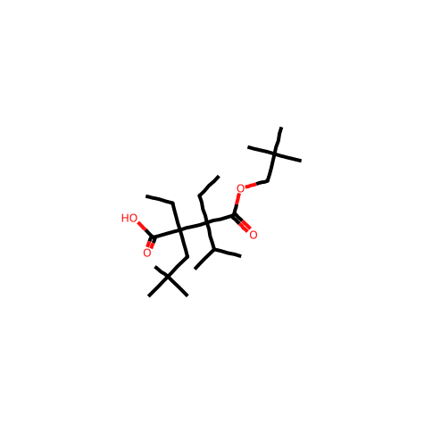 CCC(CC(C)(C)C)(C(=O)O)C(CC)(C(=O)OCC(C)(C)C)C(C)C